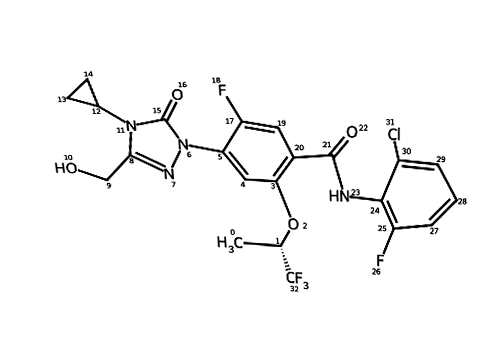 C[C@H](Oc1cc(-n2nc(CO)n(C3CC3)c2=O)c(F)cc1C(=O)Nc1c(F)cccc1Cl)C(F)(F)F